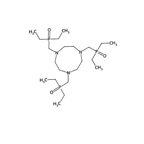 CCP(=O)(CC)CN1CCN(CP(=O)(CC)CC)CCN(CP(=O)(CC)CC)CC1